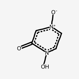 O=c1c[n+]([O-])ccn1O